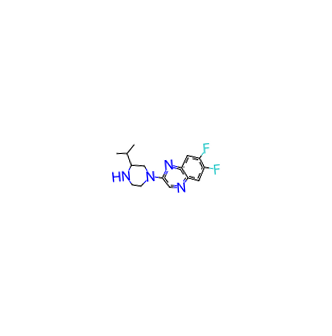 CC(C)C1CN(c2cnc3cc(F)c(F)cc3n2)CCN1